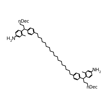 CCCCCCCCCCCCC(c1ccc(CCCCCCCCCCCCCCCCCCc2ccc(C(CCCCCCCCCCCC)c3ccc(N)cc3C)cc2)cc1)c1ccc(N)cc1C